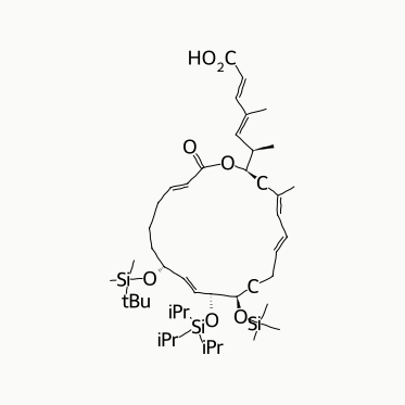 CC(/C=C/C(=O)O)=C\[C@@H](C)[C@H]1C/C(C)=C/C=C/CC[C@@H](O[Si](C)(C)C)[C@H](O[Si](C(C)C)(C(C)C)C(C)C)/C=C/[C@H](O[Si](C)(C)C(C)(C)C)CCC/C=C/C(=O)O1